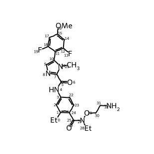 CCc1cc(NC(=O)c2ncc(-c3c(F)cc(OC)cc3F)n2C)ccc1C(=O)N(CC)OCCN